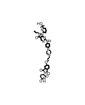 C=CCn1c(=O)c2cnc(Nc3ccc(N4CCN(CCCOc5ccc6c(c5)C(=O)N(C5CCC(=O)NC5=O)C6=O)CC4)cc3)nc2n1-c1cccc(C(C)(C)O)n1